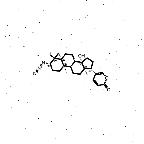 C[C@]12CC[C@H](N=[N+]=[N-])[C@@H]3C[C@@]31CCC1C2CC[C@]2(C)[C@@H](c3ccc(=O)oc3)CC[C@]12O